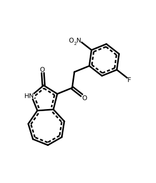 O=C(Cc1cc(F)ccc1[N+](=O)[O-])c1c2cccccc-2[nH]c1=O